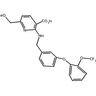 COCc1ccc(C(=O)O)c(NCc2cccc(Oc3ccccc3OC(F)(F)F)c2)n1